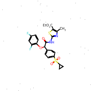 CCOC(=O)c1sc(NC(=O)C(Oc2ccc(F)cc2F)c2ccc(S(=O)(=O)C3CC3)cc2)nc1C